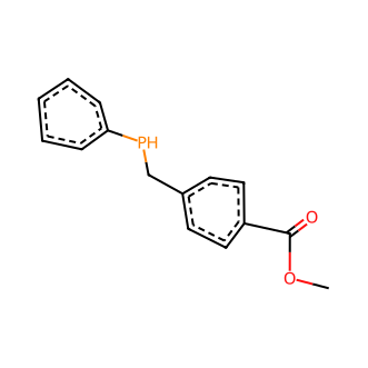 COC(=O)c1ccc(CPc2ccccc2)cc1